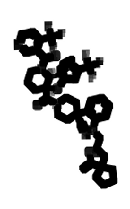 C=C(O)C1(CCCOc2ccccc2C2(C#N)CCN(C(=O)[C@]3(Oc4csc(C(F)(F)F)c4)CCCN(C(=O)c4cnccc4C(F)(F)F)[C@@H]3CCC)CC2)CCCC1